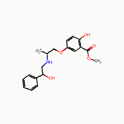 COC(=O)c1cc(OCC(C)NCC(O)c2ccccc2)ccc1O